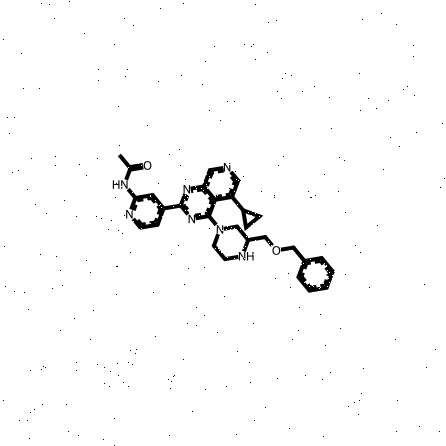 CC(=O)Nc1cc(-c2nc(N3CCNC(COCc4ccccc4)C3)c3c(C4CC4)cncc3n2)ccn1